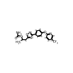 CC(Cc1nc(-c2ccc(Oc3ccc(C(F)(F)F)cn3)cc2)no1)OC(N)=O